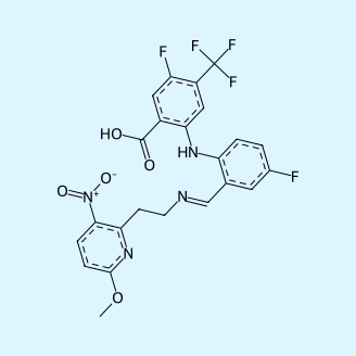 COc1ccc([N+](=O)[O-])c(CCN=Cc2cc(F)ccc2Nc2cc(C(F)(F)F)c(F)cc2C(=O)O)n1